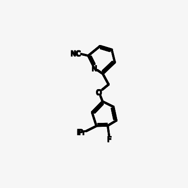 CC(C)c1cc(OCc2cccc(C#N)n2)ccc1F